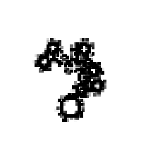 O=C(C[C@H](NC(=O)OCC1c2ccccc2-c2ccccc21)C(=O)N1CCCCC1)OC(c1ccccc1)(c1ccc(C2CCCCCCCCCC2)cc1)c1ccccc1Cl